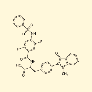 Cn1c2cnccc2c(=O)n1-c1ccc(C[C@H](NC(=O)c2cc(F)c(NS(=O)(=O)c3ccccc3)cc2F)C(=O)O)cc1